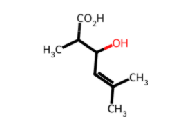 CC(C)=CC(O)C(C)C(=O)O